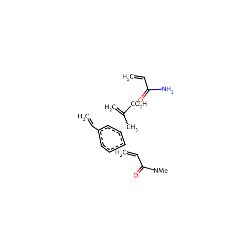 C=C(C)C(=O)O.C=CC(=O)NC.C=CC(N)=O.C=Cc1ccccc1